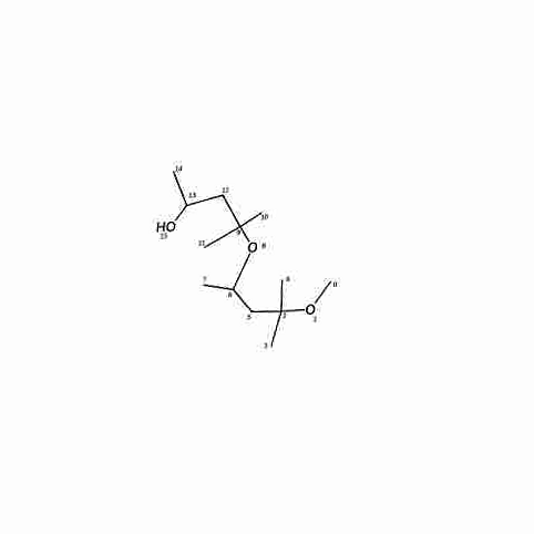 COC(C)(C)CC(C)OC(C)(C)CC(C)O